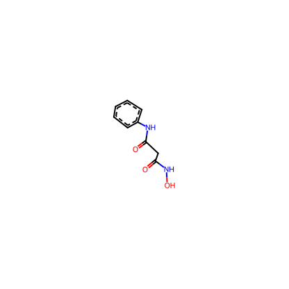 O=C(CC(=O)Nc1ccccc1)NO